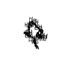 COc1cc2c(cc1OCCCOc1cc3c(cc1OC)C(=O)N1CC4(CC4)C[C@H]1C(O)N3C(=O)OCc1ccc(NC(=O)[C@H](C)NC(=O)[C@@H](NC(=O)CNC(=O)CNC(=O)CCC(=O)N3Cc4ccccc4C4=C(NNN4C)c4ccccc43)C(C)C)cc1)NC[C@@H]1CC(c3ccc(N(C)C)cc3)=CN1C2=O